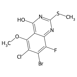 COc1c(Cl)c(Br)c(F)c2nc(SC)nc(O)c12